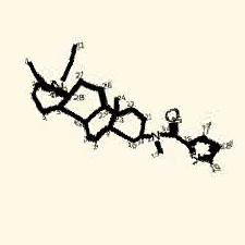 CC1C2CCC3C4CC=C5CC(N(C)C(=O)c6cccs6)CCC5(C)C4CCC32CN1C